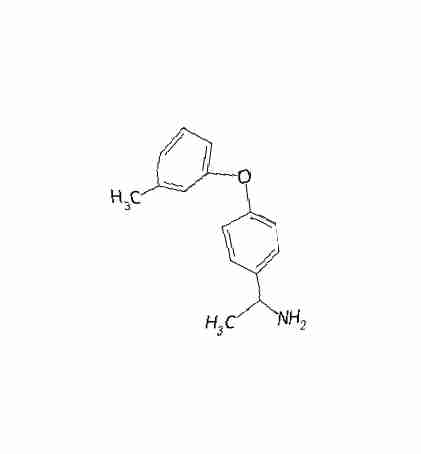 Cc1cccc(Oc2ccc(C(C)N)cc2)c1